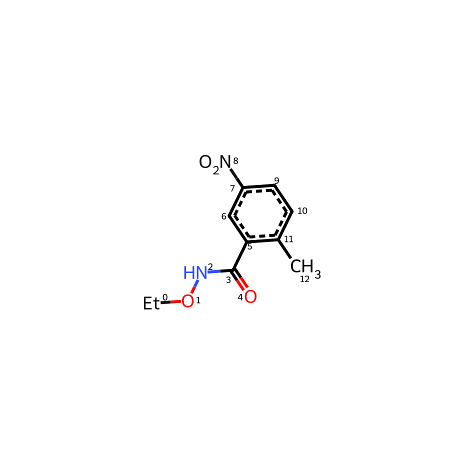 CCONC(=O)c1cc([N+](=O)[O-])ccc1C